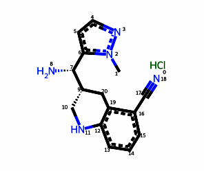 Cl.Cn1nccc1[C@@H](N)[C@H]1CNc2cccc(C#N)c2C1